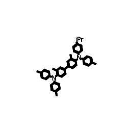 Cc1ccc(N(c2ccc(C)cc2)c2ccc(-c3ccc(N(c4ccc(C)cc4)c4ccc(C(C)C)cc4)c(C)c3)cc2C)cc1